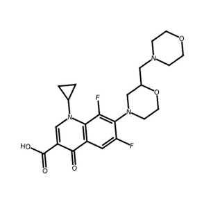 O=C(O)c1cn(C2CC2)c2c(F)c(N3CCOC(CN4CCOCC4)C3)c(F)cc2c1=O